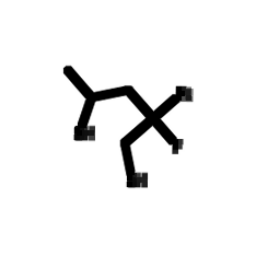 CCC(F)(CS)CC(C)S